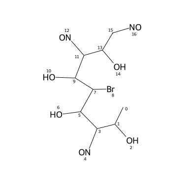 CC(O)C(N=O)C(O)C(Br)C(O)C(N=O)C(O)CN=O